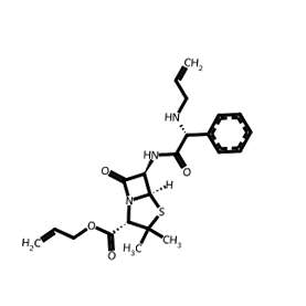 C=CCN[C@@H](C(=O)N[C@@H]1C(=O)N2[C@@H]1SC(C)(C)[C@@H]2C(=O)OCC=C)c1ccccc1